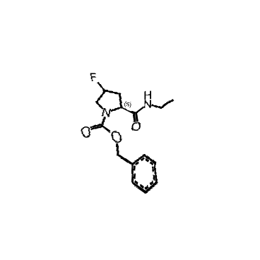 CCNC(=O)[C@@H]1CC(F)CN1C(=O)OCc1ccccc1